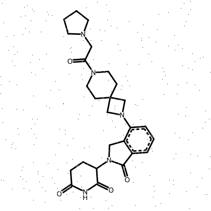 O=C1CCC(N2Cc3c(cccc3N3CC4(CCN(C(=O)CN5CCCC5)CC4)C3)C2=O)C(=O)N1